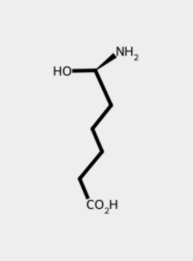 N[C@H](O)CCCCC(=O)O